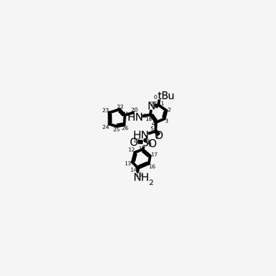 CC(C)(C)c1ccc(C(=O)NS(=O)(=O)c2ccc(N)cc2)c(NCc2ccccc2)n1